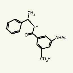 CC(=O)Nc1cc(C(=O)O)cc(C(=O)N[C@H](C)c2ccccc2)c1